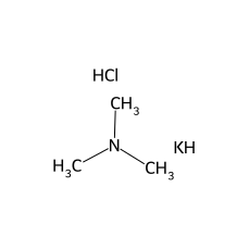 CN(C)C.Cl.[KH]